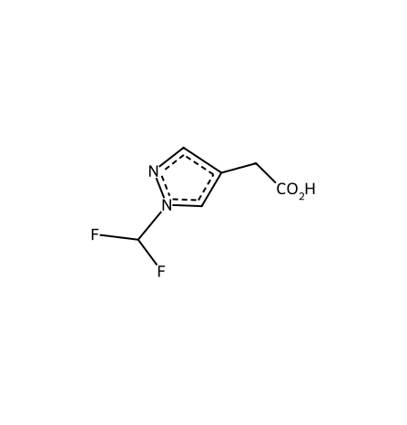 O=C(O)Cc1cnn(C(F)F)c1